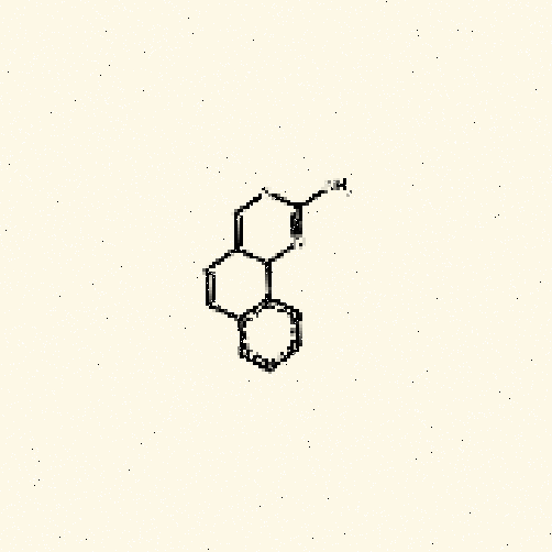 NC1=NC2C(=CS1)C=Cc1ccccc12